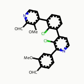 COc1cc(-c2nccc(-c3cccc(-c4ccnc(C=O)c4OC)c3Cl)c2Cl)ccc1C=O